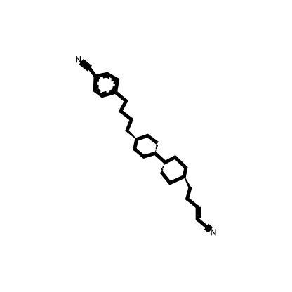 N#CC=CCC[C@H]1CC[C@H]([C@H]2CC[C@H](CCCCc3ccc(C#N)cc3)CC2)CC1